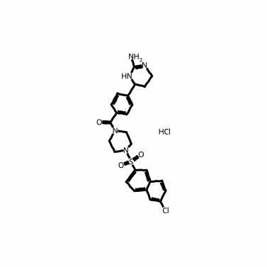 Cl.NC1=NCCC(c2ccc(C(=O)N3CCN(S(=O)(=O)c4ccc5cc(Cl)ccc5c4)CC3)cc2)N1